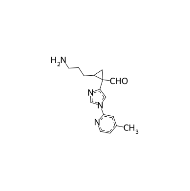 Cc1ccnc(-n2cnc(C3(C=O)CC3CCCN)c2)c1